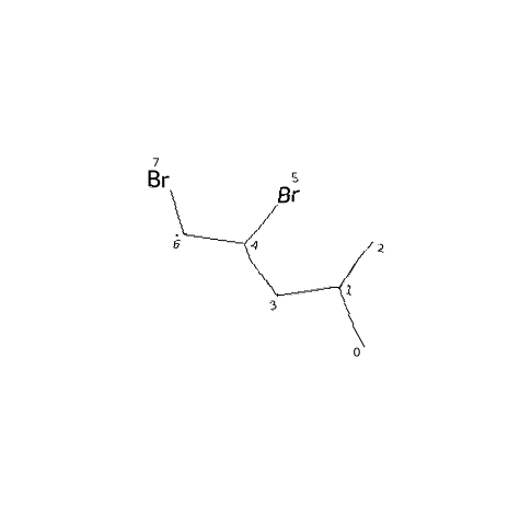 CC(C)CC(Br)[CH]Br